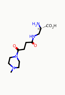 CN1CCN(C(=O)CCC(=O)NC[C@H](N)C(=O)O)CC1